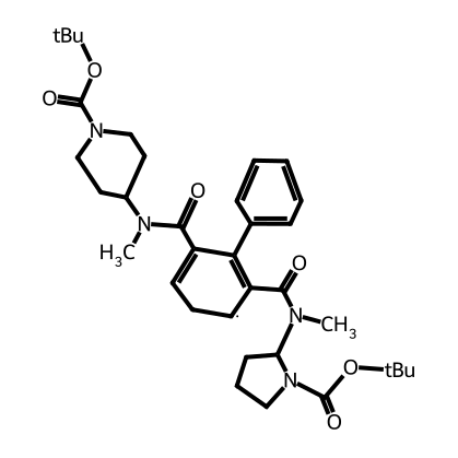 CN(C(=O)C1=CC[CH]C(C(=O)N(C)C2CCCN2C(=O)OC(C)(C)C)=C1c1ccccc1)C1CCN(C(=O)OC(C)(C)C)CC1